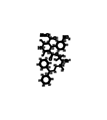 Br.COC(=O)C1=C(C)NC(C)=C(C(=O)OC(C)(C)CN(C)CCC(c2ccccc2)c2ccccc2)C1c1cccc([N+](=O)[O-])c1